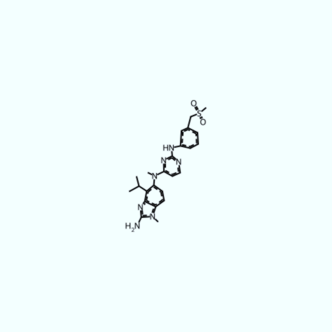 CC(C)c1c(N(C)c2ccnc(Nc3cccc(CS(C)(=O)=O)c3)n2)ccc2c1nc(N)n2C